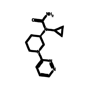 NC(=O)N(C1CC1)[C@@H]1CCCN(c2cccnn2)C1